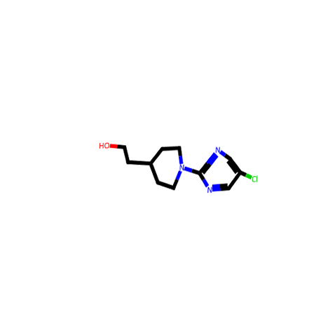 OCCC1CCN(c2ncc(Cl)cn2)CC1